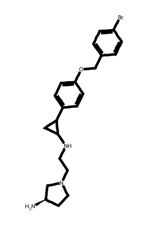 N[C@@H]1CCN(CCNC2CC2c2ccc(OCc3ccc(Br)cc3)cc2)C1